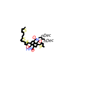 CCCCCCCCCCCCC(CCCCCCCCCC)CN1C(=O)c2cc(-c3ccc(-c4ccc(C=Cc5ccc(C)s5)s4)s3)c3c4c(cc(-c5ccc(C)s5)c(c24)C1=O)C(=O)NC3=O